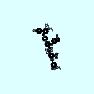 CC1(C)CCC(CN2CCN(c3ccc(C(=O)NS(=O)(=O)c4ccc(NC[C@H]5CC[C@](C)(O)CC5)c([N+](=O)[O-])c4)c(Oc4cnc5[nH]ccc5c4)c3)CC2)=C(c2ccc(Cl)cc2)C1